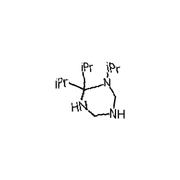 CC(C)N1CNCNC1(C(C)C)C(C)C